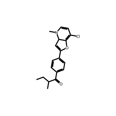 CCC(C)C(=O)c1ccc(C2=CC3C(=C(Cl)C=CN3C)O2)cc1